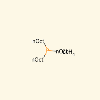 CCCCCCCCP(CCCCCCCC)CCCCCCCC.[GeH4]